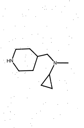 CN(CC1CCNCC1)C1CC1